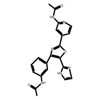 CC(=O)Nc1cccc(-c2nc(-c3ccnc(NC(C)=O)c3)sc2-c2ncc[nH]2)c1